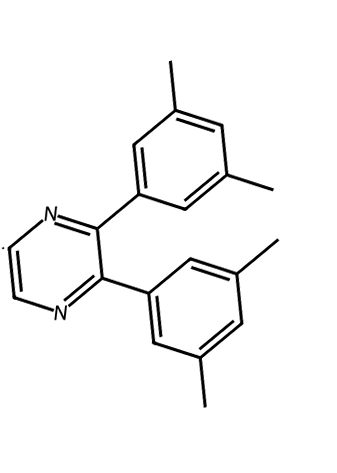 Cc1cc(C)cc(-c2n[c]cnc2-c2cc(C)cc(C)c2)c1